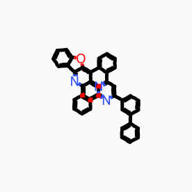 c1ccc(-c2cccc(-c3cc(-c4ccccc4-c4c5ccccc5nc5c4oc4ccccc45)nc(-c4ccccc4)n3)c2)cc1